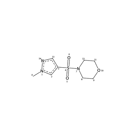 Cn1cc(S(=O)(=O)N2CCOCC2)cn1